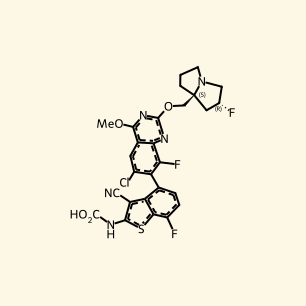 COc1nc(OC[C@@]23CCCN2C[C@H](F)C3)nc2c(F)c(-c3ccc(F)c4sc(NC(=O)O)c(C#N)c34)c(Cl)cc12